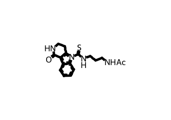 CC(=O)NCCCNC(=S)n1c2c(c3ccccc31)C(=O)NCC2